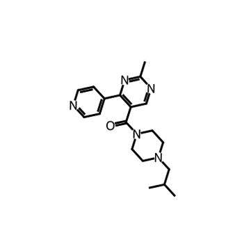 Cc1ncc(C(=O)N2CCN(CC(C)C)CC2)c(-c2ccncc2)n1